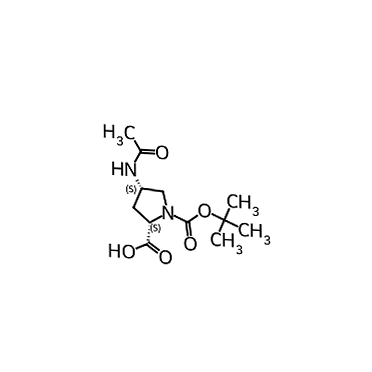 CC(=O)N[C@H]1C[C@@H](C(=O)O)N(C(=O)OC(C)(C)C)C1